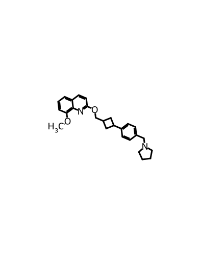 COc1cccc2ccc(OCC3CC(c4ccc(CN5CCCC5)cc4)C3)nc12